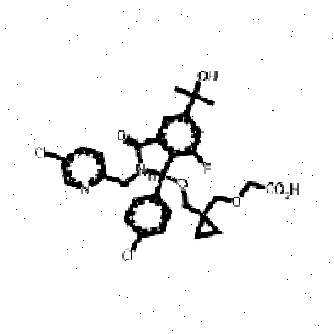 CC(C)(O)c1cc(F)c2c(c1)C(=O)N(Cc1ccc(Cl)cn1)[C@@]2(OCC1(COCC(=O)O)CC1)c1ccc(Cl)cc1